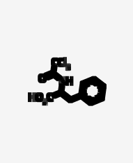 O=C(O)C(Cc1ccccc1)NC(=O)C(Cl)(Cl)Cl